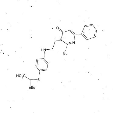 CCCCC(Sc1ccc(NCCn2c(CC)nc(-c3ccccc3)cc2=O)cc1)C(=O)O